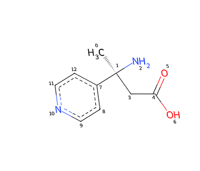 C[C@](N)(CC(=O)O)c1ccncc1